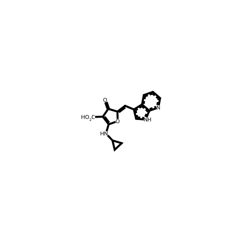 O=C(O)C1=C(NC2CC2)OC(=Cc2c[nH]c3ncccc23)C1=O